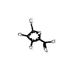 O=C(Cl)c1sc(Cl)c(Cl)c1Cl